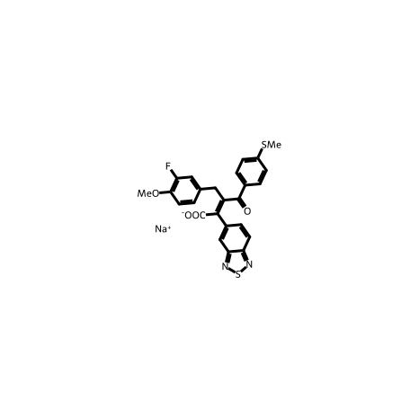 COc1ccc(C/C(C(=O)c2ccc(SC)cc2)=C(\C(=O)[O-])c2ccc3nsnc3c2)cc1F.[Na+]